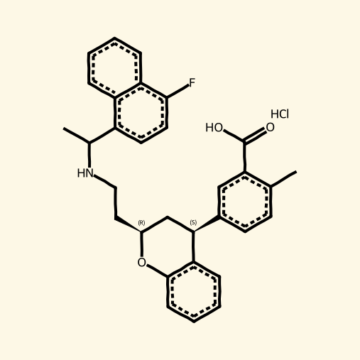 Cc1ccc([C@@H]2C[C@H](CCNC(C)c3ccc(F)c4ccccc34)Oc3ccccc32)cc1C(=O)O.Cl